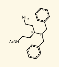 CC(=O)NCC[C@@H](CCN)N(Cc1ccccc1)Cc1ccccc1